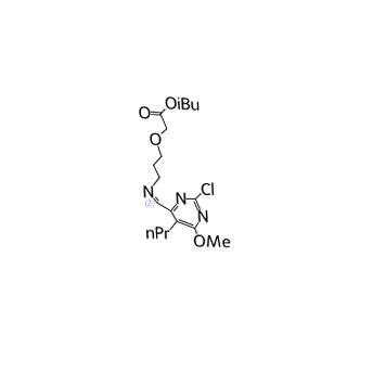 CCCc1c(/C=N\CCCOCC(=O)OCC(C)C)nc(Cl)nc1OC